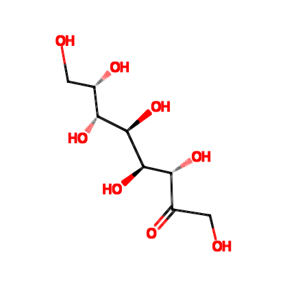 O=C(CO)[C@@H](O)[C@@H](O)[C@H](O)[C@H](O)[C@@H](O)CO